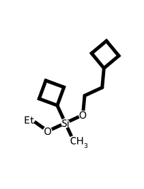 CCO[Si](C)(OCCC1CCC1)C1CCC1